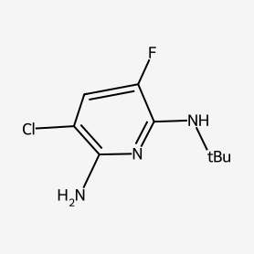 CC(C)(C)Nc1nc(N)c(Cl)cc1F